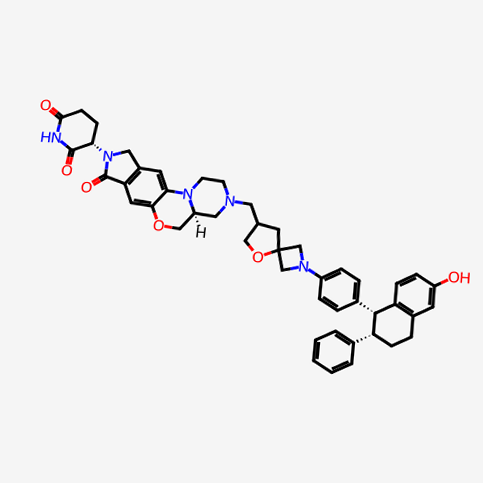 O=C1CC[C@H](N2Cc3cc4c(cc3C2=O)OC[C@@H]2CN(CC3COC5(C3)CN(c3ccc([C@@H]6c7ccc(O)cc7CC[C@@H]6c6ccccc6)cc3)C5)CCN42)C(=O)N1